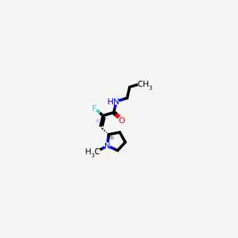 CCCNC(=O)/C(F)=C\[C@@H]1CCCN1C